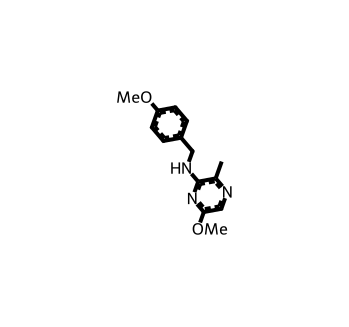 COc1ccc(CNc2nc(OC)cnc2C)cc1